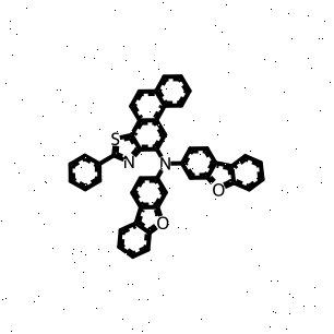 c1ccc(-c2nc3c(N(c4ccc5c(c4)oc4ccccc45)c4ccc5c(c4)oc4ccccc45)cc4c5ccccc5ccc4c3s2)cc1